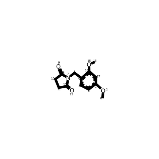 COc1ccc(CN2C(=O)CCC2=O)c(OC)c1